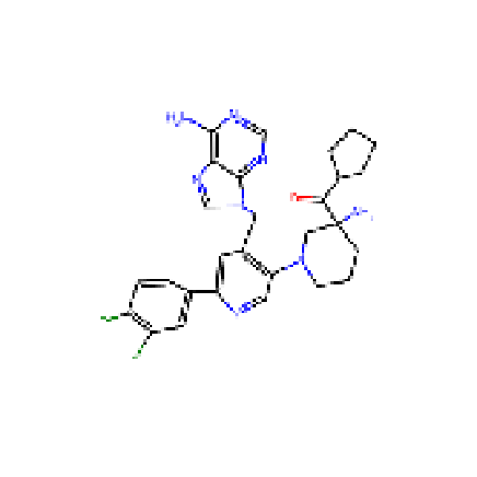 Nc1ncnc2c1ncn2Cc1cc(-c2ccc(F)c(F)c2)ncc1N1CCCC(N)(C(=O)C2CCCC2)C1